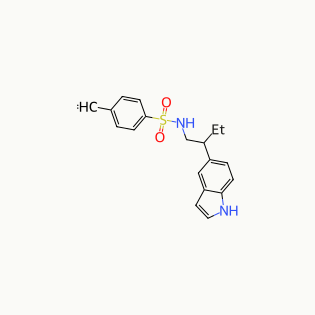 [CH]c1ccc(S(=O)(=O)NCC(CC)c2ccc3[nH]ccc3c2)cc1